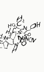 CC(C)(O)c1nc(CO)c([S@](=O)(=NC(=O)Nc2c3c(nc4c2CCC4(C)C)CCC3)NC#N)s1